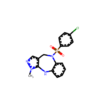 Cn1ncc2c1Nc1ccccc1N(S(=O)(=O)c1ccc(Cl)cc1)C2